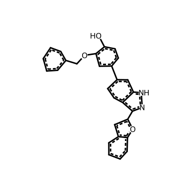 Oc1ccc(-c2ccc3c(-c4cc5ccccc5o4)n[nH]c3c2)cc1OCc1ccccc1